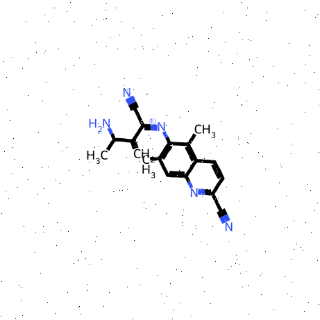 C=C(/C(C#N)=N\c1c(C)cc2nc(C#N)ccc2c1C)C(C)N